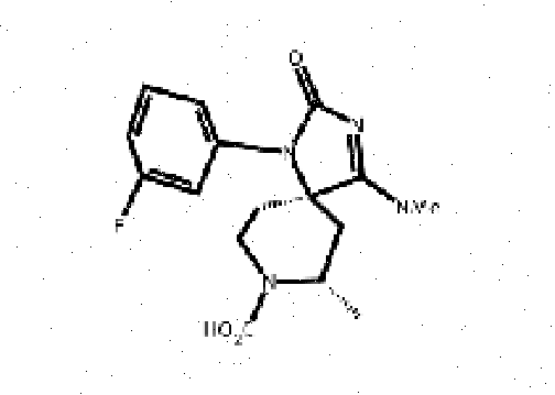 CNC1=NC(=O)N(c2cccc(F)c2)[C@@]12CCN(C(=O)O)[C@@H](C)C2